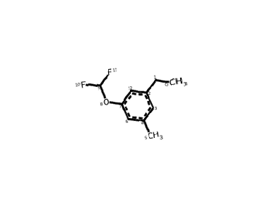 CCc1cc(C)cc(OC(F)F)c1